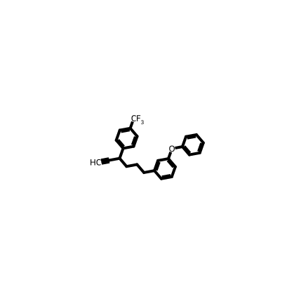 C#CC(CCCc1cccc(Oc2ccccc2)c1)c1ccc(C(F)(F)F)cc1